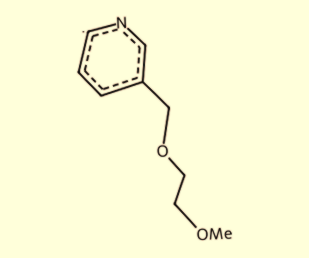 COCCOCc1cc[c]nc1